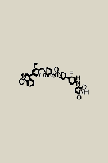 COc1cc(-c2cn(C)c(=O)c3ccccc23)cc(F)c1CN1CCC(N(C)C(=O)N2CCC(c3ccc(NC4CCC(=O)NC4=O)cc3F)CC2)CC1